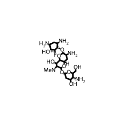 CNC1C(O[C@@H]2CC(O)[C@H](N)C(CO)O2)O[C@H]2CC(N)[C@@H](O[C@@H]3C(N)C[C@@H](N)[C@@H](O)C3F)OC2C1O